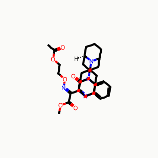 COC(=O)/C(=N/OCCOC(C)=O)c1nc2ccccc2n(C2CC3CCC[C@H](C2)N3C2CC3CCCC(C3)C2)c1=O